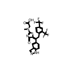 CN(CC(=O)O)C1=NC(=O)C(=C(Cc2ccc(C(F)(F)F)cc2C(F)(F)F)c2ccc3[nH]ncc3c2)S1